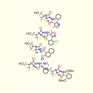 CC1(C)S[C@@H]2[C@H](NC(=O)[C@H](N)c3ccccc3)C(=O)N2[C@H]1C(=O)O.CCOc1ccc2ccccc2c1C(=O)N[C@@H]1C(=O)N2[C@@H]1SC(C)(C)[C@@H]2C(=O)O.COc1cccc(OC)c1C(=O)N[C@@H]1C(=O)N2[C@@H]1SC(C)(C)[C@@H]2C(=O)O.Cc1onc(-c2c(Cl)cccc2Cl)c1C(=O)N[C@@H]1C(=O)N2[C@@H]1SC(C)(C)[C@@H]2C(=O)O.Cc1onc(-c2ccccc2)c1C(=O)N[C@@H]1C(=O)N2[C@@H]1SC(C)(C)[C@@H]2C(=O)O